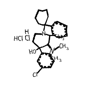 CC1C(N(C)C)C(O)(c2cccc(Cl)c2)CCN1C1(c2ccccc2)CCCCC1.Cl.Cl